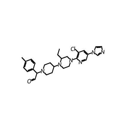 CCC1CN(c2ncc(-n3ccnc3)cc2Cl)CCN1C1CCN(C(C=O)c2ccc(C)cc2)CC1